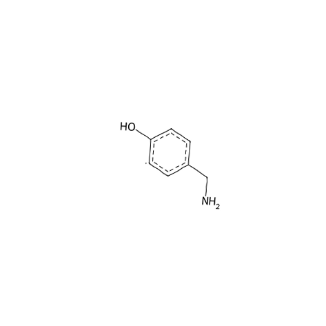 NCc1c[c]c(O)cc1